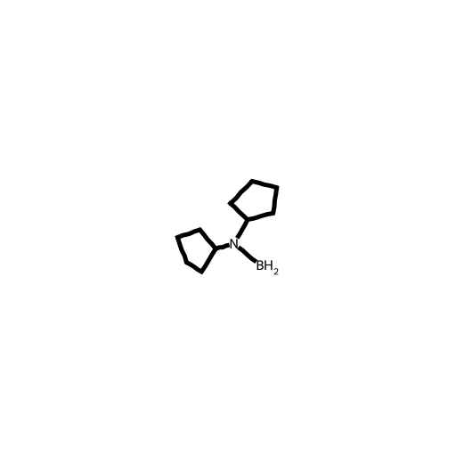 BN(C1CCCC1)C1CCCC1